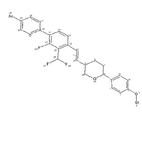 CCOc1ccc(C2CCC(/C=C/c3ccc(-c4ccc(C(C)=O)cc4)c(F)c3C(F)F)CO2)cc1